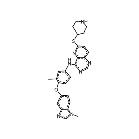 Cc1cc(Nc2ncnc3ccc(SC4CCNCC4)nc23)ccc1Oc1ccc2c(c1)ncn2C